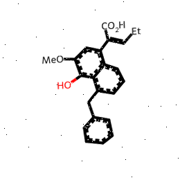 CCC=C(C(=O)O)c1cc(OC)c(O)c2c(Cc3ccccc3)cccc12